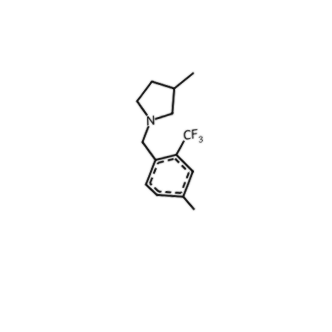 Cc1ccc(CN2CCC(C)C2)c(C(F)(F)F)c1